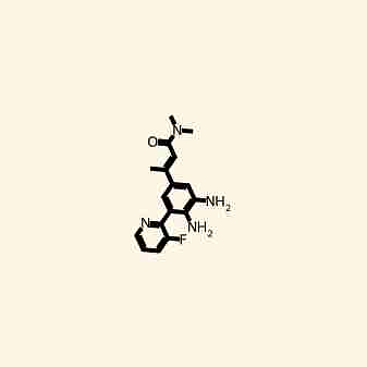 C/C(=C\C(=O)N(C)C)c1cc(N)c(N)c(-c2ncccc2F)c1